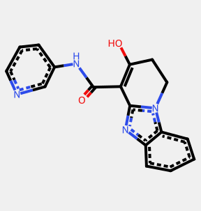 O=C(Nc1cccnc1)C1=C(O)CCn2c1nc1ccccc12